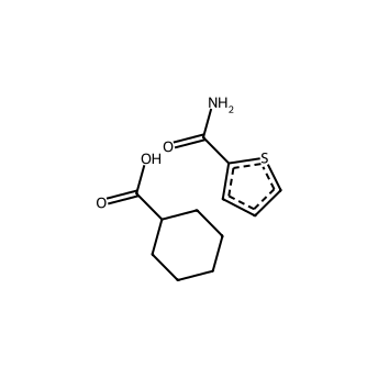 NC(=O)c1cccs1.O=C(O)C1CCCCC1